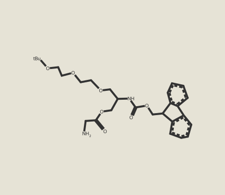 CC(C)(C)OCCOCCOCC(COC(=O)CN)NC(=O)OCC1c2ccccc2-c2ccccc21